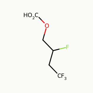 O=C(O)OCC(F)CC(F)(F)F